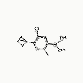 Cc1nc(C23CC(C2)C3)c(Cl)cc1B(O)O